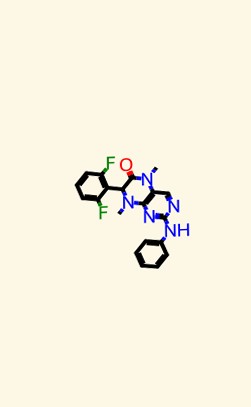 CN1C(=O)C(c2c(F)cccc2F)N(C)c2nc(Nc3ccccc3)ncc21